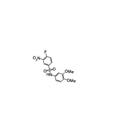 COc1ccc(NS(=O)(=O)c2ccc(F)c([N+](=O)[O-])c2)cc1OC